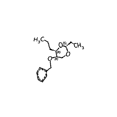 CCC[C@H]1O[C@@H](CC)OC[C@H]1OCc1ccccc1